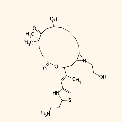 C/C(=C\C1=CSC(CCN)N1)C1CC2C(CCCCC(O)CC(=O)C(C)(C)CCC(=O)O1)N2CCO